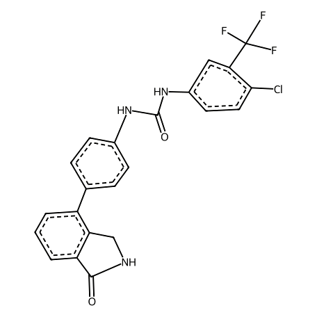 O=C(Nc1ccc(-c2cccc3c2CNC3=O)cc1)Nc1ccc(Cl)c(C(F)(F)F)c1